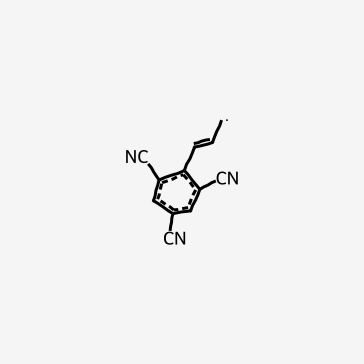 [CH2]/C=C/c1c(C#N)cc(C#N)cc1C#N